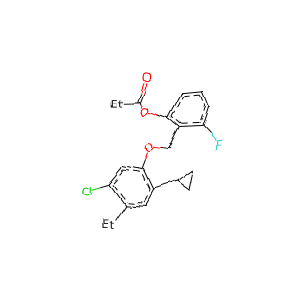 CCC(=O)Oc1cccc(F)c1COc1cc(Cl)c(CC)cc1C1CC1